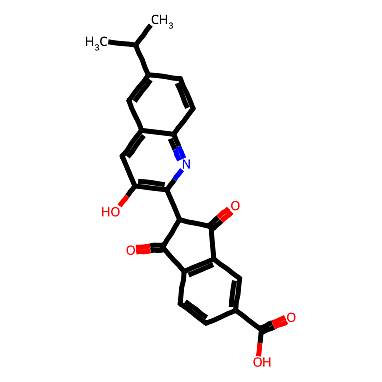 CC(C)c1ccc2nc(C3C(=O)c4ccc(C(=O)O)cc4C3=O)c(O)cc2c1